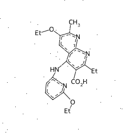 CCOc1cccc(Nc2c(C(=O)O)c(CC)nc3nc(C)c(OCC)cc23)n1